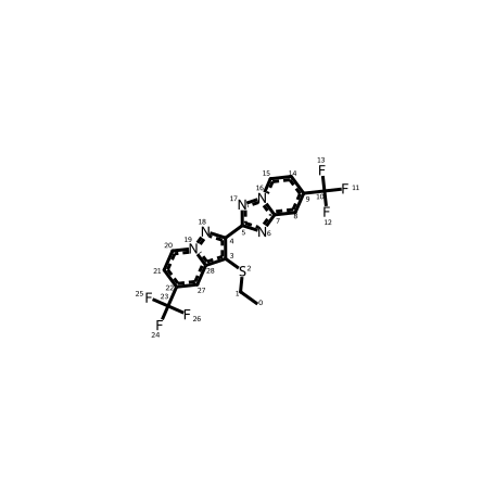 CCSc1c(-c2nc3cc(C(F)(F)F)ccn3n2)nn2ccc(C(F)(F)F)cc12